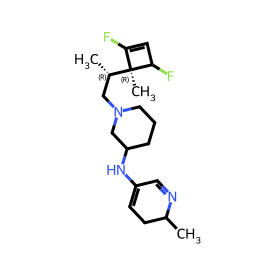 CC1CC=C(NC2CCCN(C[C@H](C)[C@@]3(C)C(F)=CC3F)C2)C=N1